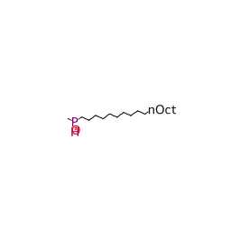 CCCCCCCCCCCCCCCCCC[PH](C)=O